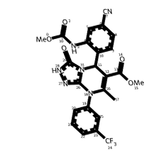 COC(=O)Nc1cc(C#N)ccc1C1C(C(=O)OC)=C(C)N(c2cccc(C(F)(F)F)c2)c2n[nH]c(=O)n21